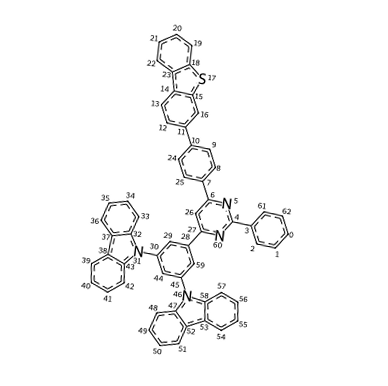 c1ccc(-c2nc(-c3ccc(-c4ccc5c(c4)sc4ccccc45)cc3)cc(-c3cc(-n4c5ccccc5c5ccccc54)cc(-n4c5ccccc5c5ccccc54)c3)n2)cc1